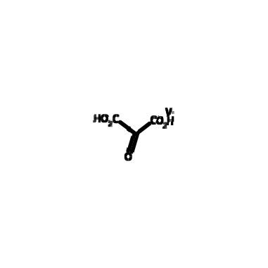 O=C(O)C(=O)C(=O)O.[V]